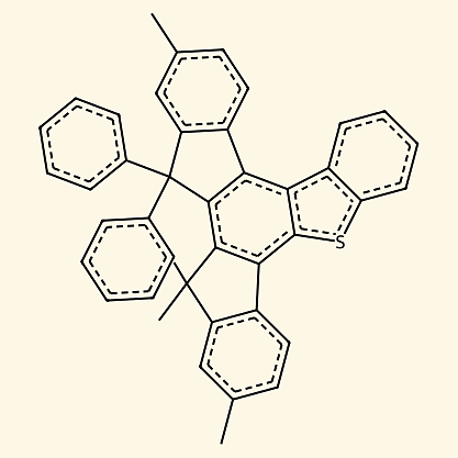 Cc1ccc2c(c1)C(C)(C)c1c3c(c4c(sc5ccccc54)c1-2)-c1ccc(C)cc1C3(c1ccccc1)c1ccccc1